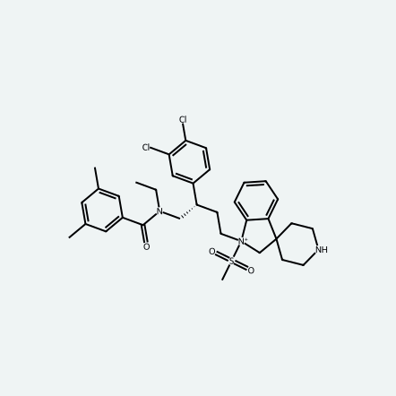 CCN(C[C@@H](CC[N+]1(S(C)(=O)=O)CC2(CCNCC2)c2ccccc21)c1ccc(Cl)c(Cl)c1)C(=O)c1cc(C)cc(C)c1